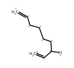 C=CCCCCC(C=C)CC